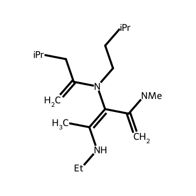 C=C(NC)/C(=C(/C)NCC)N(CCC(C)C)C(=C)CC(C)C